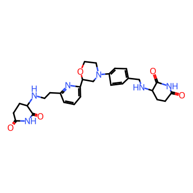 O=C1CCC(NCCc2cccc(C3CN(c4ccc(CNC5CCC(=O)NC5=O)cc4)CCO3)n2)C(=O)N1